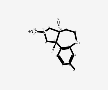 Cc1ccc2c(c1)OCC[C@@H]1CN(C(=O)O)C[C@@H]21